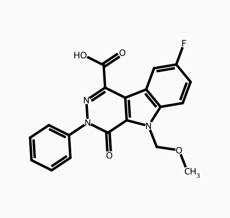 COCn1c2ccc(F)cc2c2c(C(=O)O)nn(-c3ccccc3)c(=O)c21